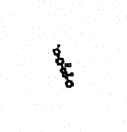 Cl.O=C1N(c2cccnc2)Cc2cc(-c3ccc(N4CC[C@H](F)C4)nc3)cn21